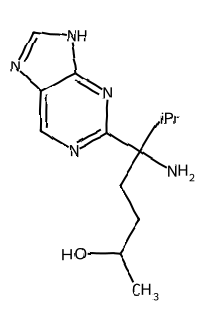 CC(O)CCC(N)(c1ncc2nc[nH]c2n1)C(C)C